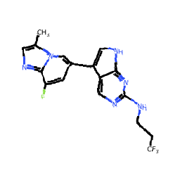 Cc1cnc2c(F)cc(-c3c[nH]c4nc(NCCC(F)(F)F)ncc34)cn12